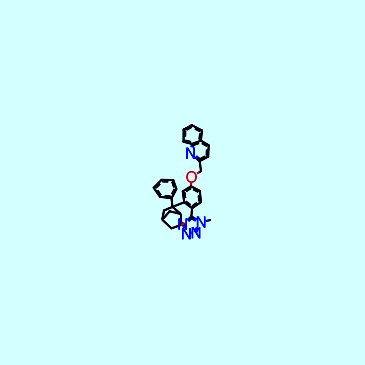 Cn1nnnc1-c1ccc(OCc2ccc3ccccc3n2)cc1C1(c2ccccc2)CC2CCC1C2